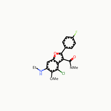 CCNc1cc2oc(-c3ccc(F)cc3)c(C(=O)NC)c2c(Cl)c1OC